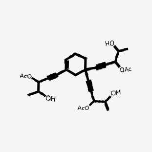 CC(=O)OC(C#CC1=CCCC(C#CC(OC(C)=O)C(C)O)(C#CC(OC(C)=O)C(C)O)C1)C(C)O